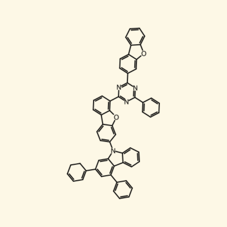 C1=CCCC(c2cc(-c3ccccc3)c3c4ccccc4n(-c4ccc5c(c4)oc4c(-c6nc(-c7ccccc7)nc(-c7ccc8c(c7)oc7ccccc78)n6)cccc45)c3c2)=C1